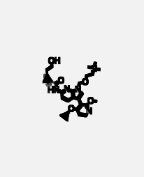 COc1nccc(OC2CC2)c1-c1cn(COCC[Si](C)(C)C)c2nc(NC(=O)[C@@H]3C[C@H]3CCO)ccc12